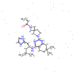 C=CC(=O)N1CC2(CCN(c3nc4c(c(N[C@H](Cc5ncc[nH]5)CC(C)C)n3)CCC(C)(C)C4)C2)C1